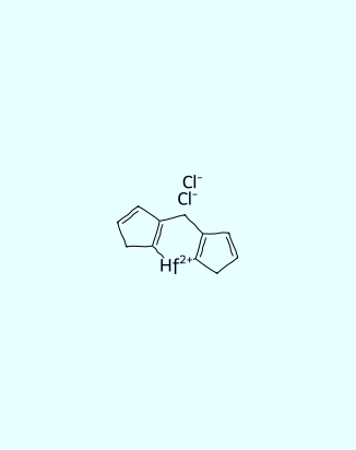 C1=CC2=[C](C1)[Hf+2][C]1=C(C=CC1)C2.[Cl-].[Cl-]